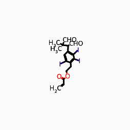 C=CC(=O)OCCc1c(I)cc(C(C=O)C(C)(C)[C]=O)c(I)c1I